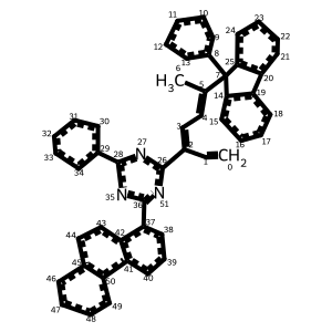 C=C/C(=C\C=C(/C)C1(c2ccccc2)c2ccccc2-c2ccccc21)c1nc(-c2ccccc2)nc(-c2cccc3c2ccc2ccccc23)n1